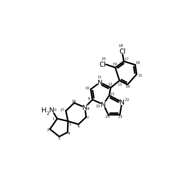 NC1CCCC12CCN(c1cnc(-c3cccc(Cl)c3Cl)c3nccn13)CC2